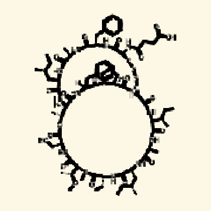 CC[C@@H](C)C[C@@H]1NC(=O)C(C)NC(=O)[C@H]([C@H](C)CC)NC(=O)C2CSSC[C@H](NC(=O)CCC(=O)O)C(=O)N[C@H](Cc3ccccc3)C(=O)N[C@H](C)C(=O)NC(C[C@@H](C)CC)C(=O)N[C@@H](C(=O)N[C@H](Cc3ccccc3)C(=O)N3CCC[C@H]3C(=O)N2)[C@@H](C)OC(=O)[C@H](CO)NC(=O)[C@H]([C@@H](C)OC)N(C)C(=O)[C@@H](CC)NC1=O